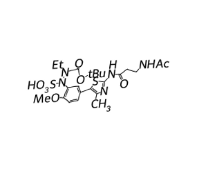 CCN(C(=O)OC(C)(C)C)N(c1cc(-c2sc(NC(=O)CCNC(C)=O)nc2C)ccc1OC)S(=O)(=O)O